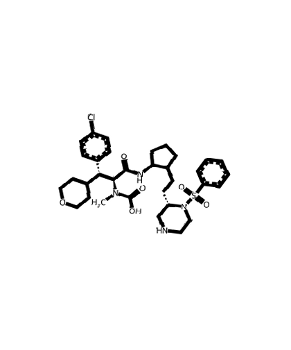 CN(C(=O)O)[C@H](C(=O)NC1CCCC1CC[C@H]1CNCCN1S(=O)(=O)c1ccccc1)[C@@H](c1ccc(Cl)cc1)C1CCOCC1